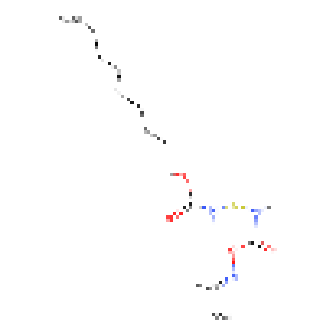 CCCCCCCCCCCCCCCCCCOC(=O)N(C)SN(C)C(=O)ON=C(C)SC